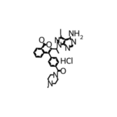 CC(c1oc(=O)c2ccccc2c1-c1ccc(C(=O)N2CCN(C)CC2)cc1)n1nc(I)c2c(N)ncnc21.Cl